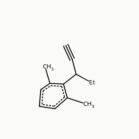 [C]#CC(CC)c1c(C)cccc1C